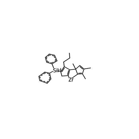 CCCC1=C([SiH](c2ccccc2)c2ccccc2)C[C]([Zr])=C1C1(C)C=C(C)C(C)=C1C